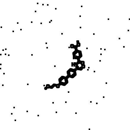 COCCOc1ccc(-c2ccc(N(C=O)NC(=O)c3ccc(C(=O)OC)cn3)cc2)cc1